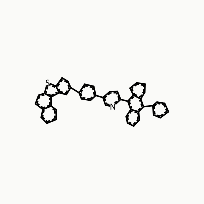 c1ccc(-c2c3ccccc3c(-c3ccc(-c4ccc(-c5ccc6sc7ccc8ccccc8c7c6c5)cc4)cn3)c3ccccc23)cc1